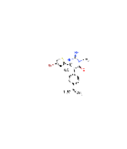 C=C(C)c1ccc(C2C(=O)N(C)C(=N)N[C@]2(C)c2cc(Br)cs2)cc1